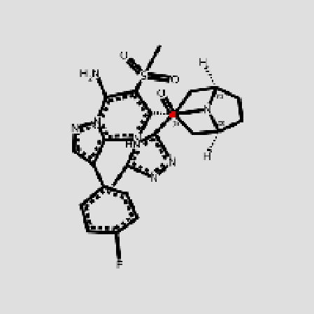 Cc1nnc(C(=O)N2[C@@H]3CC[C@H]2C[C@H](c2nc4c(-c5ccc(F)cc5)cnn4c(N)c2S(C)(=O)=O)C3)[nH]1